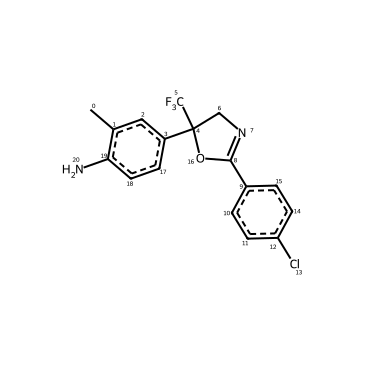 Cc1cc(C2(C(F)(F)F)CN=C(c3ccc(Cl)cc3)O2)ccc1N